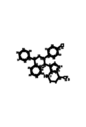 O=C(c1cnn2c1NCCC2C(F)(F)F)N(CC(c1ccccc1)c1ccccc1)c1ccc(Cl)cc1